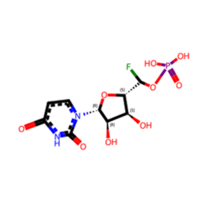 O=c1ccn([C@@H]2O[C@H](C(F)OP(=O)(O)O)[C@@H](O)[C@H]2O)c(=O)[nH]1